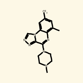 Cc1cc(C(F)(F)F)cc2c1nc(N1CCN(C)CC1)c1nncn12